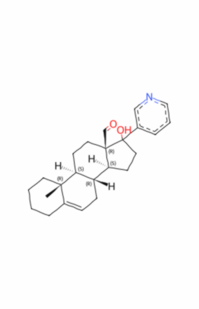 C[C@]12CCCCC1=CC[C@@H]1[C@@H]2CC[C@@]2(C=O)[C@H]1CCC2(O)c1cccnc1